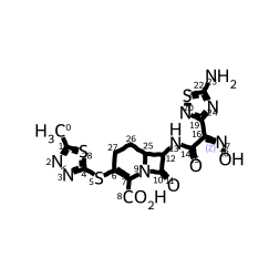 Cc1nnc(SC2=C(C(=O)O)N3C(=O)C(NC(=O)/C(=N\O)c4nsc(N)n4)C3CC2)s1